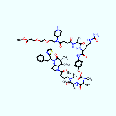 CC[C@H](C)[C@@H]([C@@H](CC(=O)N1CCC[C@H]1[C@H](OC)[C@@H](C)C(=O)N[C@@H](Cc1ccccc1)c1nccs1)OC)N(C)C(=O)[C@@H](NC(=O)[C@H](C(C)C)N(C)C(=O)OCc1ccc(NC(=O)[C@H](CCCNC(N)=O)NC(=O)[C@@H](NC(=O)CCC(=O)N(CCOCCOCCC(=O)OC(C)(C)C)C2CCNCC2)C(C)C)cc1)C(C)C